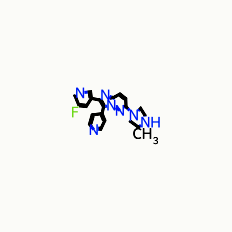 C[C@H]1CN(c2ccc3nc(-c4cncc(F)c4)c(-c4ccncc4)n3n2)CCN1